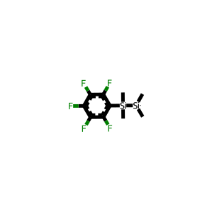 C[Si](C)[Si](C)(C)c1c(F)c(F)c(F)c(F)c1F